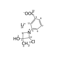 CC1(O)CN(c2cccc(C(=O)[O-])c2)C1Cl.[Li+]